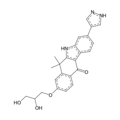 CC1(C)c2cc(OCC(O)CO)ccc2C(=O)c2c1[nH]c1cc(-c3cn[nH]c3)ccc21